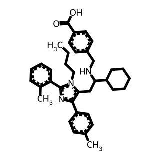 CCCCn1c(-c2ccccc2C)nc(-c2ccc(C)cc2)c1CC(NCc1ccc(C(=O)O)cc1)C1CCCCC1